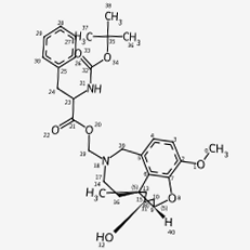 COc1ccc2c3c1O[C@H]1C[C@@H](O)C(C)[C@@]31CCN(COC(=O)C(Cc1ccccc1)NC(=O)OC(C)(C)C)C2